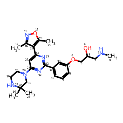 CNCC(O)COc1cccc(-c2nc(-c3c(C)noc3C)cc(N3CCNC(C)(C)C3)n2)c1